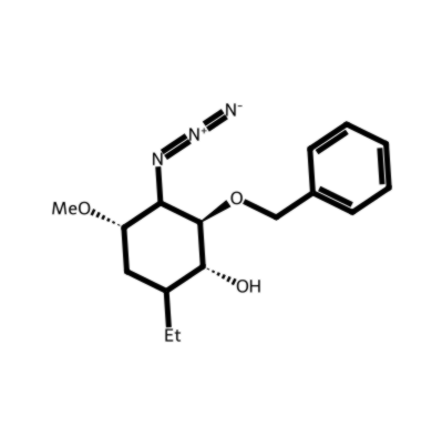 CCC1C[C@H](OC)C(N=[N+]=[N-])[C@@H](OCc2ccccc2)[C@@H]1O